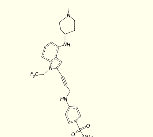 CNS(=O)(=O)c1ccc(NCC#Cc2cc3c(NC4CCN(C)CC4)cccc3n2CC(F)(F)F)cc1